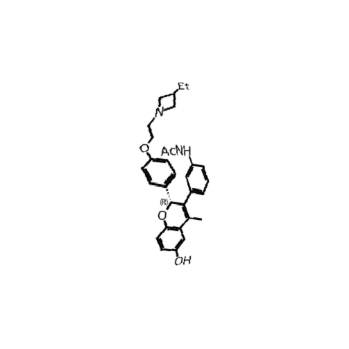 CCC1CN(CCOc2ccc([C@H]3Oc4ccc(O)cc4C(C)=C3c3cccc(NC(C)=O)c3)cc2)C1